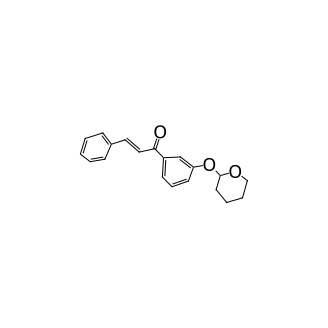 O=C(C=Cc1ccccc1)c1cccc(OC2CCCCO2)c1